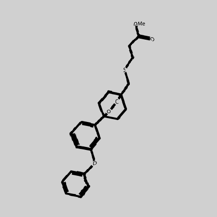 COC(=O)CCSCC12CCC(c3cccc(Oc4ccccc4)c3)(CC1)OC2